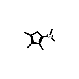 CC1=C(C)C(C)=[C]([Ga]([CH3])[CH3])C1